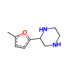 Cc1ccc(C2CNCCN2)o1